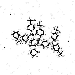 CC(C)(C)c1ccc(N2B3c4cc(C(C)(C)C)ccc4-n4c5cc(N(c6ccc(C(C)(C)C)cc6)c6ccc(C(C)(C)C)cc6)ccc5c5c6c(oc7ccccc76)c(c3c54)-c3cc4c(cc32)-c2ccccc2C4(C)C)cc1